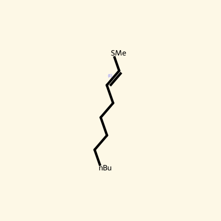 [CH2]CCCCCCC/C=C/SC